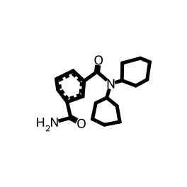 NC(=O)c1cccc(C(=O)N(C2CCCCC2)C2CCCCC2)c1